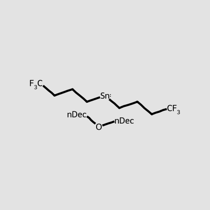 CCCCCCCCCCOCCCCCCCCCC.FC(F)(F)CC[CH2][Sn][CH2]CCC(F)(F)F